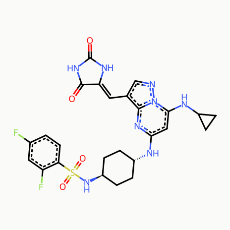 O=C1NC(=O)/C(=C/c2cnn3c(NC4CC4)cc(N[C@H]4CC[C@H](NS(=O)(=O)c5ccc(F)cc5F)CC4)nc23)N1